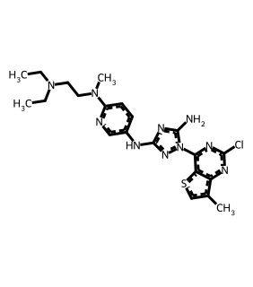 CCN(CC)CCN(C)c1ccc(Nc2nc(N)n(-c3nc(Cl)nc4c(C)csc34)n2)cn1